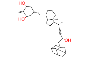 C=C1[C@H](O)CC(=C/C=C2\CCC[C@@]3(C)C2CC[C@@H]3[C@H](C)C#CC(O)CC23CC4CC(CC(C4)C2)C3)C[C@H]1O